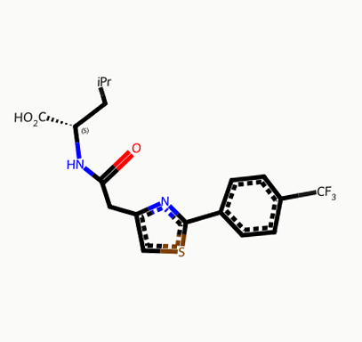 CC(C)C[C@H](NC(=O)Cc1csc(-c2ccc(C(F)(F)F)cc2)n1)C(=O)O